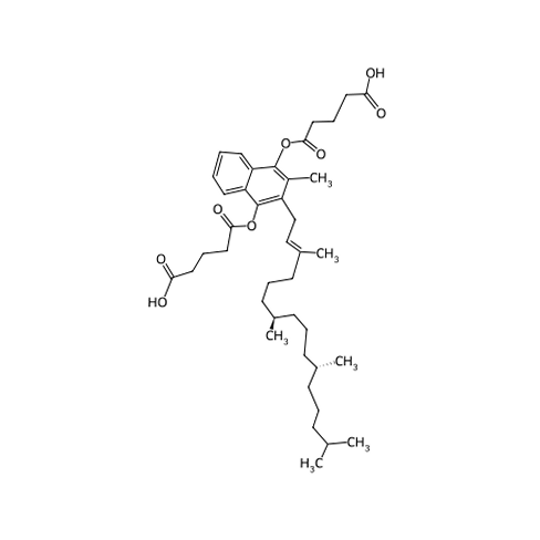 C/C(=C\Cc1c(C)c(OC(=O)CCCC(=O)O)c2ccccc2c1OC(=O)CCCC(=O)O)CCC[C@H](C)CCC[C@H](C)CCCC(C)C